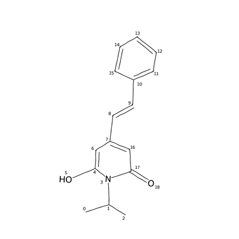 CC(C)n1c(O)cc(/C=C/c2ccccc2)cc1=O